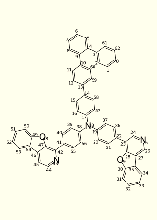 c1ccc(-c2ccccc2-c2ccc(-c3ccc(N(c4ccc(-c5cncc6c5oc5ccccc56)cc4)c4ccc(-c5nccc6c5oc5ccccc56)cc4)cc3)cc2)cc1